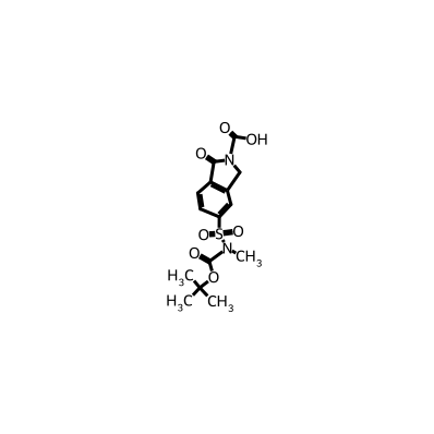 CN(C(=O)OC(C)(C)C)S(=O)(=O)c1ccc2c(c1)CN(C(=O)O)C2=O